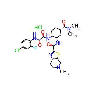 CN1CCc2nc(C(=O)N[C@@H]3C[C@@H](C(=O)N(C)C)CC[C@@H]3NC(=O)C(=O)Nc3ccc(Cl)cc3F)sc2C1.Cl